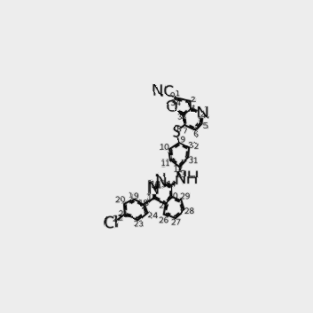 N#Cc1cc2nccc(Sc3ccc(Nc4nnc(-c5ccc(Cl)cc5)c5ccccc45)cc3)c2o1